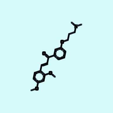 COc1ccc(C=CC(=O)c2cccc(OCCCN(C)C)c2)c(OC)c1